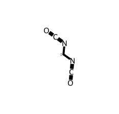 O=C=N[C]N=C=O